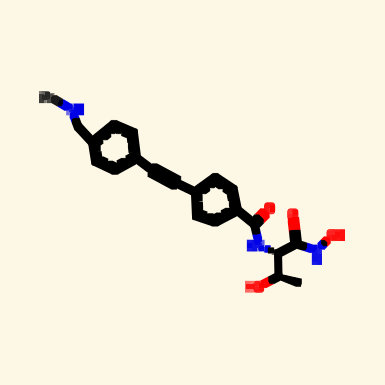 CC(C)NCc1ccc(C#Cc2ccc(C(=O)N[C@H](C(=O)NO)[C@@H](C)O)cc2)cc1